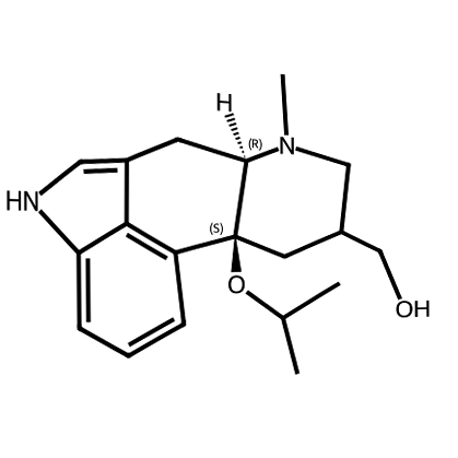 CC(C)O[C@]12CC(CO)CN(C)[C@@H]1Cc1c[nH]c3cccc2c13